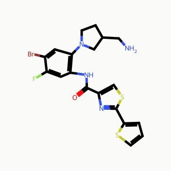 NCC1CCN(c2cc(Br)c(F)cc2NC(=O)c2csc(-c3cccs3)n2)C1